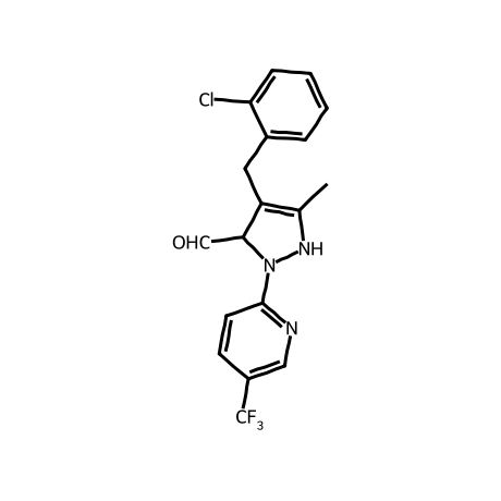 CC1=C(Cc2ccccc2Cl)C(C=O)N(c2ccc(C(F)(F)F)cn2)N1